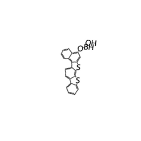 OBOc1cc2sc3c(ccc4c5ccccc5sc43)c2c2ccccc12